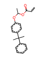 C=CC(=O)OC(C)Oc1ccc(C(C)(C)c2ccccc2)cc1